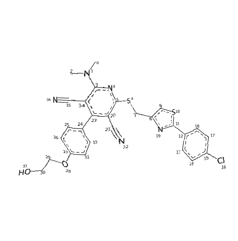 CN(C)c1nc(SCc2csc(-c3ccc(Cl)cc3)n2)c(C#N)c(-c2ccc(OCCO)cc2)c1C#N